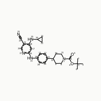 CC(C)(C)OC(=O)N1CCC(c2ccc(Nc3cc(NC4CC4)c(C#N)cn3)cc2)CC1